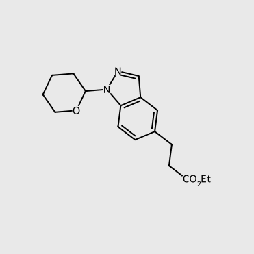 CCOC(=O)CCc1ccc2c(cnn2C2CCCCO2)c1